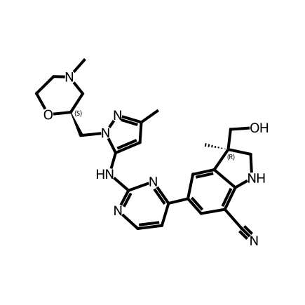 Cc1cc(Nc2nccc(-c3cc(C#N)c4c(c3)[C@@](C)(CO)CN4)n2)n(C[C@@H]2CN(C)CCO2)n1